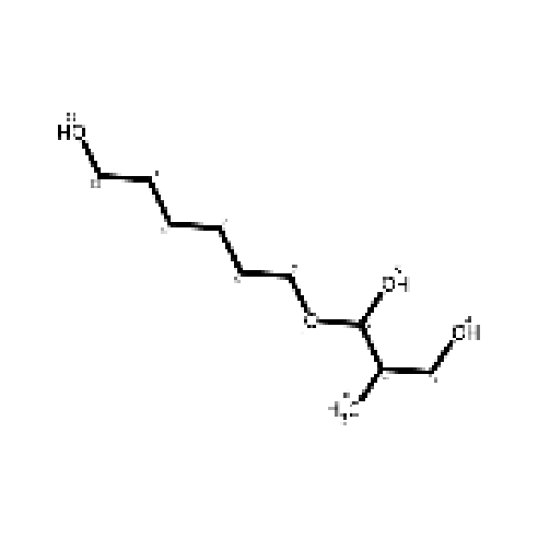 CC(CO)C(O)OCCCCCCO